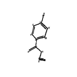 C=C(CSC)c1ccc(F)cc1